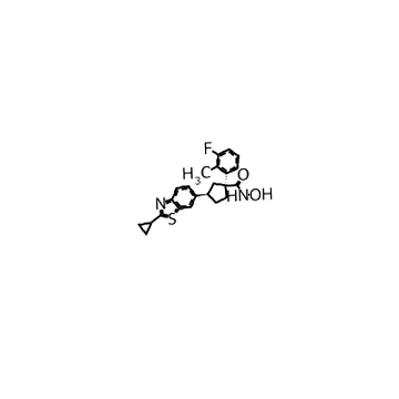 Cc1c(F)cccc1[C@]1(C(=O)NO)CC[C@@H](c2ccc3nc(C4CC4)sc3c2)C1